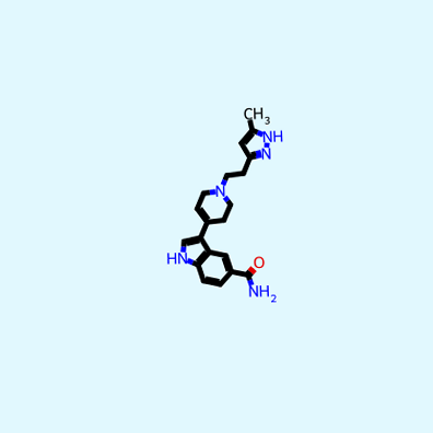 Cc1cc(CCN2CC=C(c3c[nH]c4ccc(C(N)=O)cc34)CC2)n[nH]1